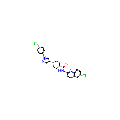 O=C(Nc1ccc2cc(Cl)ccc2n1)[C@H]1CC[C@H](c2cnn(-c3ccc(Cl)cc3)c2)CC1